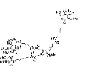 CNC(COCCC(=O)NCCCCCCOC(NC(C)=O)C(O)C(O)C(CO)OC)(COCCC(=O)NCCCCCCOC(OC(CO)C(C)O)C(O)NC(C)=O)COCCC(=O)NCCCCCCOC1OC(CO)C(O)C(O)C1NC(C)=O